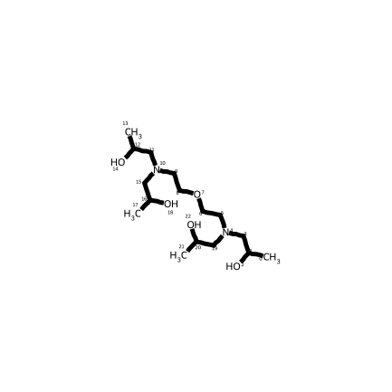 CC(O)CN(CCOCCN(CC(C)O)CC(C)O)CC(C)O